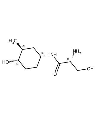 C[C@H]1C[C@H](NC(=O)[C@H](N)CO)CC[C@@H]1O